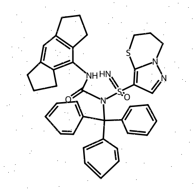 N=S(=O)(c1cnn2c1SCCC2)N(C(=O)Nc1c2c(cc3c1CCC3)CCC2)C(c1ccccc1)(c1ccccc1)c1ccccc1